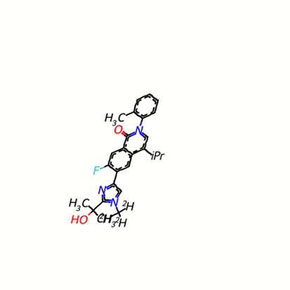 [2H]C([2H])([2H])n1cc(-c2cc3c(C(C)C)cn(-c4ccccc4C)c(=O)c3cc2F)nc1C(C)(C)O